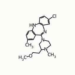 COCCC1CN(C2=Nc3cc(Cl)ccc3Nc3ccc(C)cc32)CCN1C